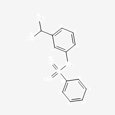 N#CC(O)c1cccc(OS(=O)(=O)c2ccccc2)c1